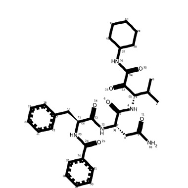 CC(C)[C@H](NC(=O)[C@H](CC(N)=O)NC(=O)[C@H](Cc1ccccc1)NC(=O)c1ccccc1)C(=O)C(=O)NC1CCCCC1